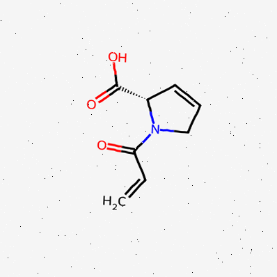 C=CC(=O)N1CC=C[C@H]1C(=O)O